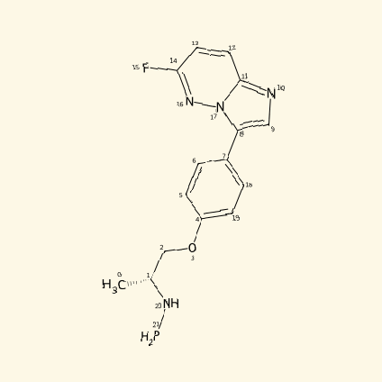 C[C@H](COc1ccc(-c2cnc3ccc(F)nn23)cc1)NP